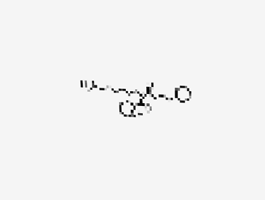 NCCCCCCN(C(=O)CCCC1CCCCC1)C(=O)C1CCCCN1